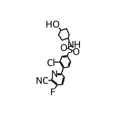 N#Cc1nc(-c2ccc(S(=O)(=O)NC3CCC(O)CC3)cc2Cl)ccc1F